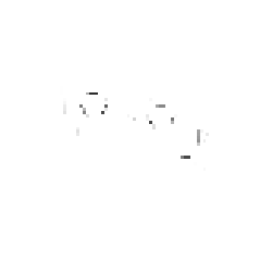 O=C(O)[C@H]1CC1Cc1cnc(NCc2ccc(C(F)(F)F)c(Br)c2)cn1